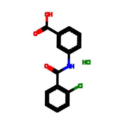 Cl.O=C(O)c1cccc(NC(=O)c2ccccc2Cl)c1